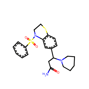 NC(=O)CC(c1ccc2c(c1)N(S(=O)(=O)c1ccccc1)CCS2)N1CCCCC1